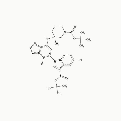 CC(C)(C)OC(=O)N1CCC[C@@](C)(Nc2nc(-c3cn(C(=O)OC(C)(C)C)c4cc(Cl)ccc34)c(Cl)n3ccnc23)C1